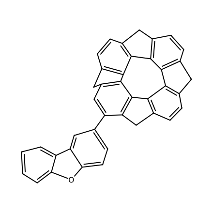 c1ccc2c(c1)oc1ccc(-c3cc4c5c6c3Cc3ccc7c(c3-6)-c3c(ccc6c3-c3c(ccc(c3-5)C4)C6)C7)cc12